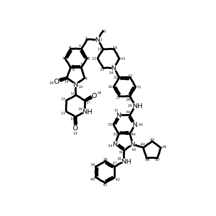 CN(Cc1ccc2c(c1)CN(C1CCC(=O)NC1=O)C2=O)C1CCN(c2ccc(Nc3ncc4nc(Nc5ccccc5)n(C5CCCC5)c4n3)cc2)CC1